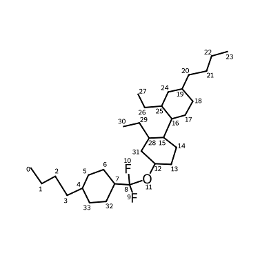 CCCCC1CCC(C(F)(F)OC2CCC(C3CCC(CCCC)CC3CC)C(CC)C2)CC1